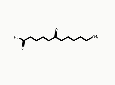 CCCCCCC(=O)CCCCC(=O)O